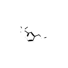 COCc1ccn[c]([Sn]([CH3])([CH3])[CH3])c1